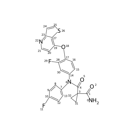 NC(=O)C1(C(=O)N(c2ccc(F)cc2)c2ccc(Oc3ccnc4ccsc34)c(F)c2)CC1